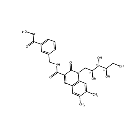 Cc1cc2nc(C(=O)NCc3cccc(C(=O)NO)c3)c(=O)n(C[C@H](O)[C@H](O)[C@H](O)CO)c2cc1C